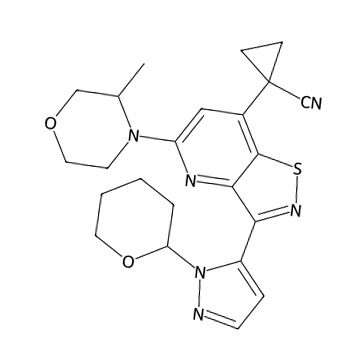 CC1COCCN1c1cc(C2(C#N)CC2)c2snc(-c3ccnn3C3CCCCO3)c2n1